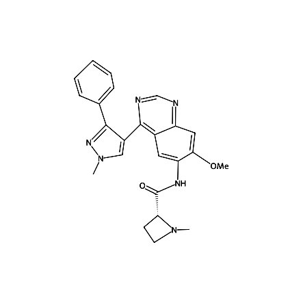 COc1cc2ncnc(-c3cn(C)nc3-c3ccccc3)c2cc1NC(=O)[C@H]1CCN1C